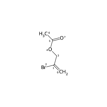 C=C(Br)COC(C)=O